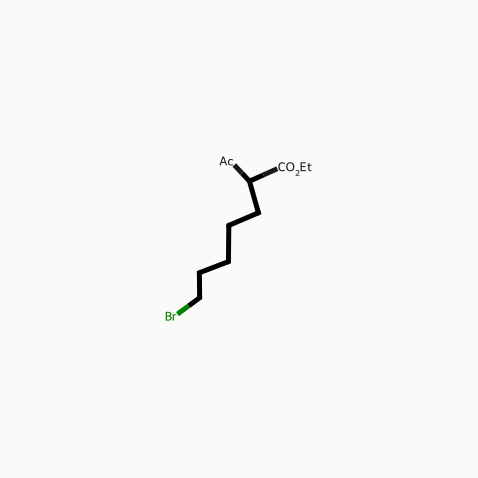 CCOC(=O)C(CCCCCBr)C(C)=O